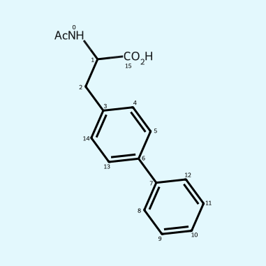 CC(=O)NC(Cc1ccc(-c2ccccc2)cc1)C(=O)O